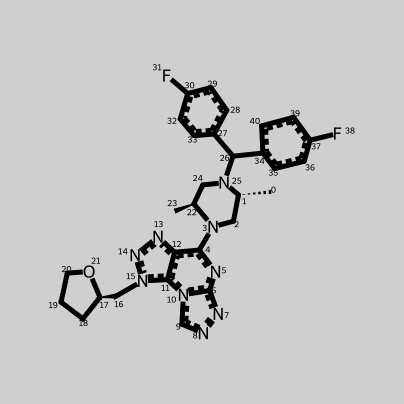 C[C@@H]1CN(c2nc3nncn3c3c2nnn3C[C@H]2CCCO2)[C@@H](C)CN1C(c1ccc(F)cc1)c1ccc(F)cc1